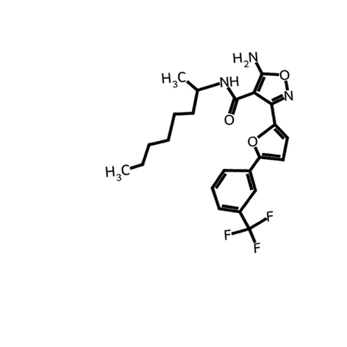 CCCCCCC(C)NC(=O)c1c(-c2ccc(-c3cccc(C(F)(F)F)c3)o2)noc1N